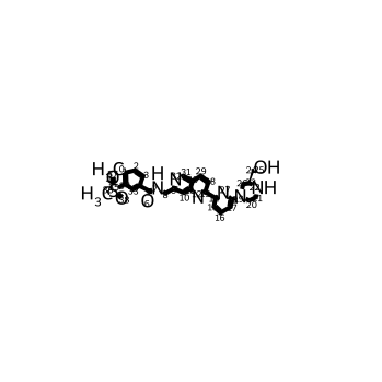 Cc1ccc(C(=O)NCc2cc3nc(-c4cccc(N5CCN[C@H](CO)C5)n4)ccc3cn2)cc1S(C)(=O)=O